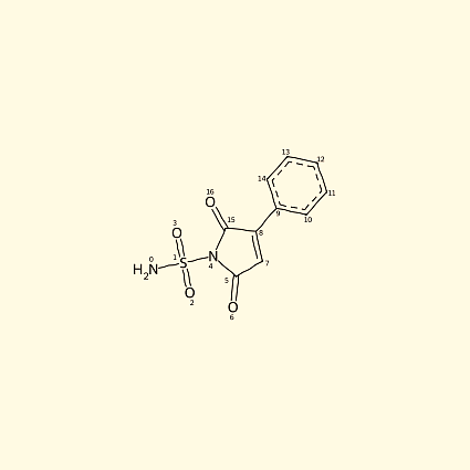 NS(=O)(=O)N1C(=O)C=C(c2ccccc2)C1=O